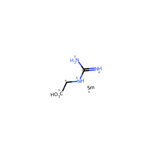 N=C(N)NCC(=O)O.[Sm]